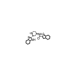 CN1CC[C@@H](NC(=O)c2cc3ccccc3n2C)C[C@@H]1c1nc2ccccc2[nH]1